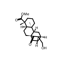 COC(=O)[C@]1(C)CCC[C@@]2(C)[C@@H]3C[C@@H]4CC[C@@]3(CC[C@@H]21)C(=O)[C@H]4CO